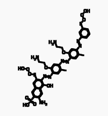 Cc1cc(N=Nc2cc(OCCN)c(N=Nc3c(SOOO)cc4cc(S(=O)(=O)O)c(N)cc4c3O)cc2C)c(OCCN)cc1N=Nc1cccc(SOOO)c1